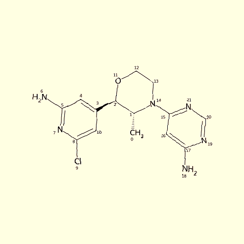 C[C@@H]1[C@@H](c2cc(N)nc(Cl)c2)OCCN1c1cc(N)ncn1